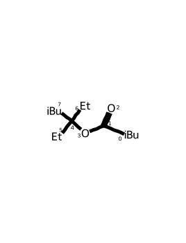 CCC(C)C(=O)OC(CC)(CC)C(C)CC